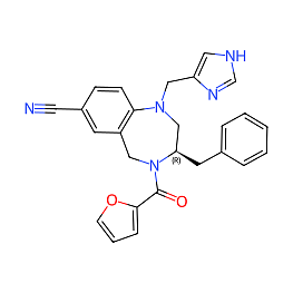 N#Cc1ccc2c(c1)CN(C(=O)c1ccco1)[C@H](Cc1ccccc1)CN2Cc1c[nH]cn1